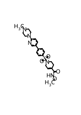 CONC(=O)C1=CCN(S(=O)(=O)c2ccc(-c3ccc(N4CCN(C)CC4)nc3)cc2)CC1